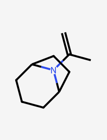 C=C(C)N1C2CCCC1CC2